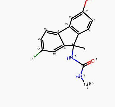 CC1(NC(=O)NC=O)c2ccc(O)cc2-c2ccc(F)cc21